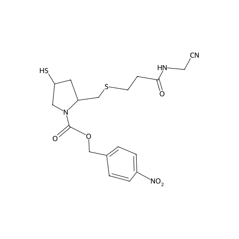 N#CCNC(=O)CCSCC1CC(S)CN1C(=O)OCc1ccc([N+](=O)[O-])cc1